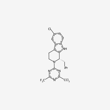 CC(C)C[C@H]1c2[nH]c3ccc(Cl)cc3c2CCN1c1nc(C(F)(F)F)nc(C(Cl)(Cl)Cl)n1